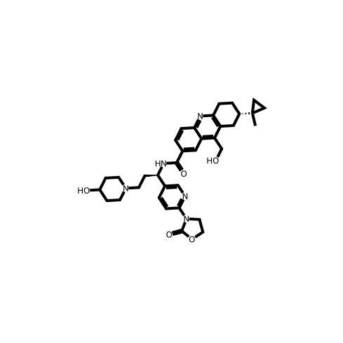 CC1([C@H]2CCc3nc4ccc(C(=O)N[C@H](CCN5CCC(O)CC5)c5ccc(N6CCOC6=O)nc5)cc4c(CO)c3C2)CC1